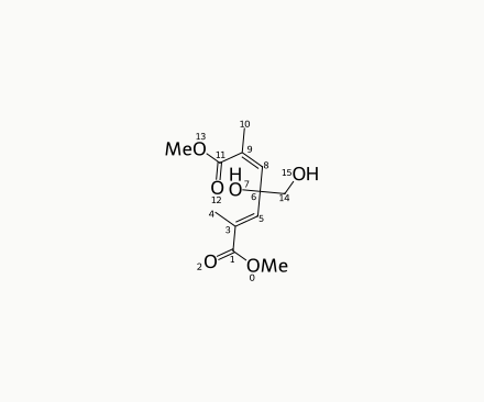 COC(=O)C(C)=CC(O)(C=C(C)C(=O)OC)CO